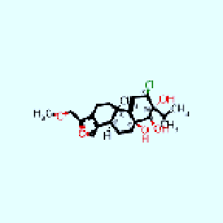 COCc1occ2c1CC[C@]1(C)C3=C[C@@H](Cl)[C@@](O)(C(C)C)[C@@H](O)[C@]3(O)CC[C@@H]21